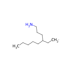 [CH2]CC(CCCN)CCCCC